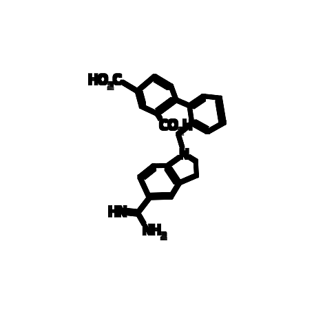 N=C(N)c1ccc2c(c1)CCN2Cc1ccccc1-c1ccc(C(=O)O)cc1C(=O)O